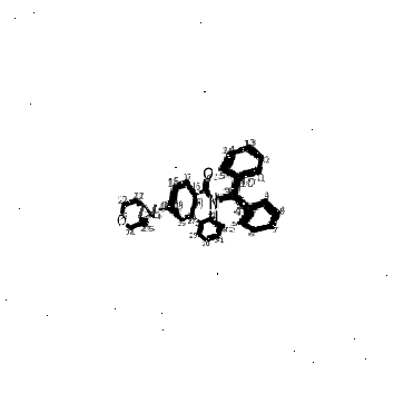 O=C(NC(C1=CC=C=C=C1)c1ccccc1)[C@@H]1CC[C@@H](N2CCOCC2)C[C@H]1c1ccccc1